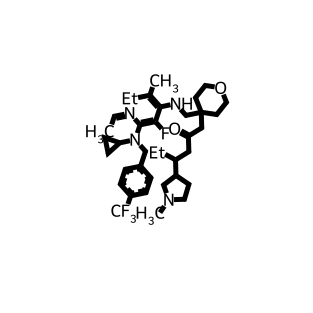 C\C=N/C(=C(F)\C(NCC1(CC(=O)CC(CC)C2CCN(C)C2)CCOCC1)=C(\C)CC)N(Cc1ccc(C(F)(F)F)cc1)C1CC1